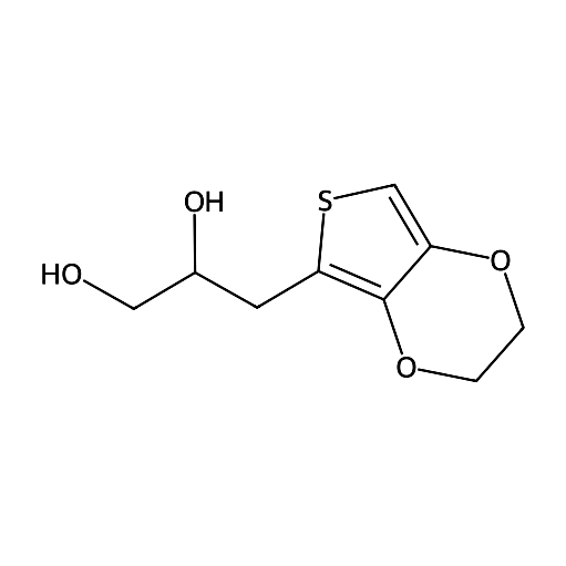 OCC(O)Cc1scc2c1OCCO2